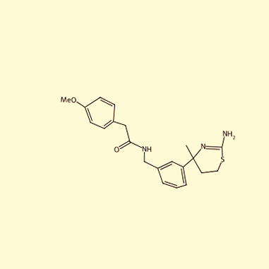 COc1ccc(CC(=O)NCc2cccc(C3(C)CCSC(N)=N3)c2)cc1